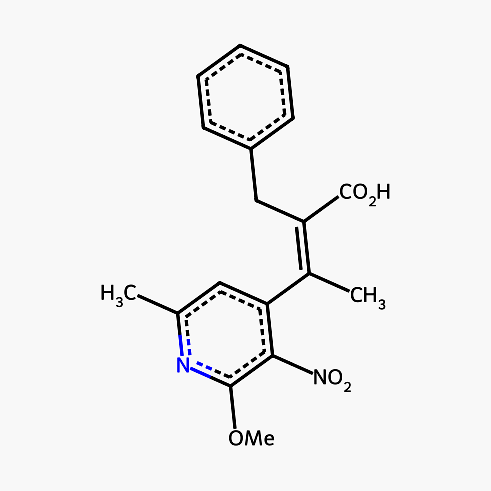 COc1nc(C)cc(C(C)=C(Cc2ccccc2)C(=O)O)c1[N+](=O)[O-]